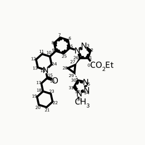 CCOC(=O)c1cnn(-c2cccc(C3CCCN(C(=O)CC4CCCCC4)C3)c2)c1[C@@H]1C[C@H]1c1cn(C)nn1